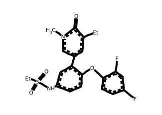 CCc1cc(-c2cc(NS(=O)(=O)CC)ccc2Oc2ccc(F)cc2F)cn(C)c1=O